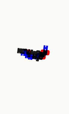 COc1ccc2c(c1N1CCN(C[C@H]3CC[C@H](n4cc5cc(NC(=O)c6cccc(C#N)n6)ncc5n4)CC3)CC1)n(C)c(=O)n2C1CCC(=O)NC1=O